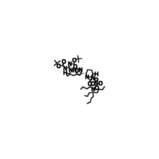 CCCCN(OS(=O)(=O)ON1C(=O)N2C[C@@H]1CC[C@H]2c1cc(CC2(N/C(=N\C(=O)OC(C)(C)C)NC(=O)OC(C)(C)C)CC2)on1)C(CCC)(CCCC)CCCC